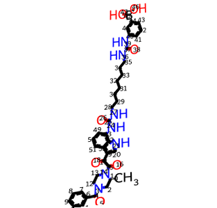 C[C@@H]1CN(C(=O)c2ccccc2)CCN1C(=O)C(=O)c1c[nH]c2c(NC(=O)NCCCCCCCCNC(=O)Nc3cccc(B(O)O)c3)cccc12